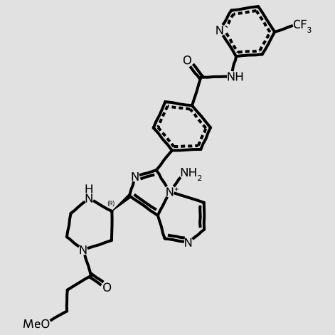 COCCC(=O)N1CCN[C@@H](C2=C3C=NC=C[N+]3(N)C(c3ccc(C(=O)Nc4cc(C(F)(F)F)ccn4)cc3)=N2)C1